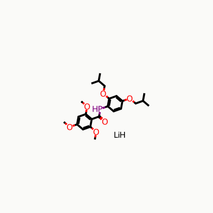 COc1cc(OC)c(C(=O)Pc2ccc(OCC(C)C)cc2OCC(C)C)c(OC)c1.[LiH]